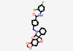 O=C(Nc1ccc(F)cc1F)c1ccc(CN2C(=O)C3(COc4cc5c(cc43)OCO5)c3ccccc32)cc1